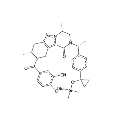 C[C@@H]1Cc2nn3c(c2CN1C(=O)c1ccc(Cl)c(C#N)c1)C(=O)N([C@H](C)c1ccc(C2(O[Si](C)(C)C(C)(C)C)CC2)cc1)C[C@H]3C